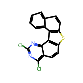 Clc1nc(Cl)c2ccc3sc4ccc5ccccc5c4c3c2n1